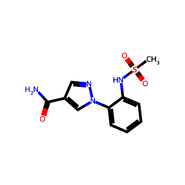 CS(=O)(=O)Nc1ccccc1-n1cc(C(N)=O)cn1